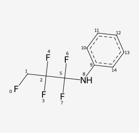 FCC(F)(F)C(F)(F)Nc1ccccc1